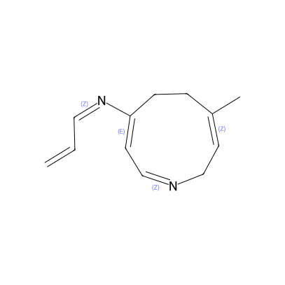 C=C\C=N/C1=C/C=N\C/C=C(/C)CC1